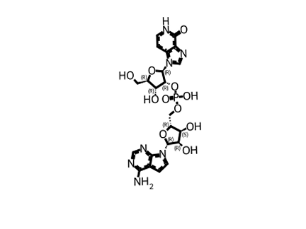 Nc1ncnc2c1ccn2[C@@H]1O[C@H](COP(=O)(O)O[C@@H]2[C@H](O)[C@@H](CO)O[C@H]2n2cnc3c(=O)[nH]ccc32)[C@@H](O)[C@H]1O